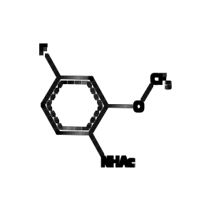 CC(=O)Nc1ccc(F)cc1OC(F)(F)F